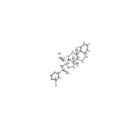 C#C[C@@]1(OC(=O)c2ccc[n+](C)c2)CC[C@H]2[C@@H]3CCc4ccccc4[C@H]3CC[C@@]21C.[I-]